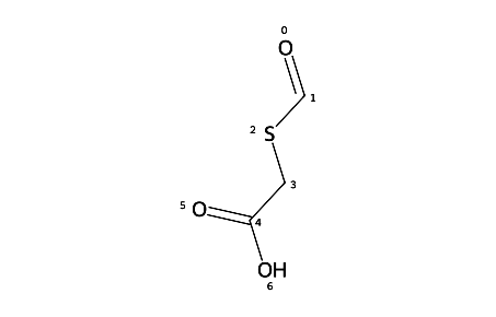 O=CSCC(=O)O